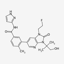 Cc1ccc(C(=O)Nc2cc[nH]n2)cc1-c1cnc2c(c1)n(CCF)c(=O)n2C(C)(C)CO